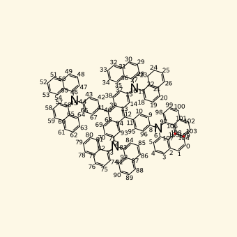 C1=Cc2cccc(N(c3ccc(-c4c5cc(N(c6cccc7c6CCC=C7)c6cccc7ccccc67)ccc5c(-c5ccc(N(c6cccc7ccccc67)c6cccc7ccccc67)cc5)c5ccc(N(c6cccc7ccccc67)c6cccc7ccccc67)cc45)cc3)c3cccc4ccccc34)c2CC1